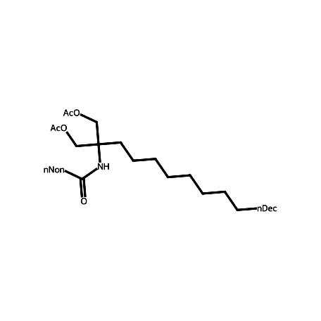 CCCCCCCCCCCCCCCCCCC(COC(C)=O)(COC(C)=O)NC(=O)CCCCCCCCC